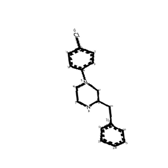 Clc1ccc(N2CC[N]C(Cc3ccccc3)C2)cc1